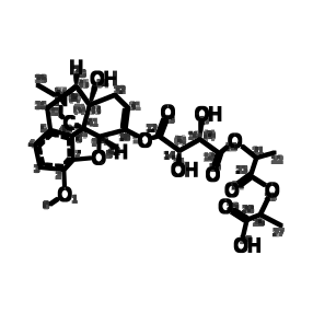 COc1ccc2c3c1O[C@H]1C(OC(=O)[C@H](O)[C@@H](O)C(=O)OC(C)C(=O)OC(C)C(=O)O)=CC[C@@]4(O)[C@@H](C2)N(C)CC[C@]314